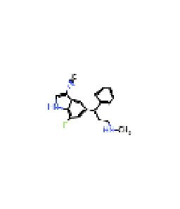 [C-]#[N+]c1c[nH]c2c(F)cc(C(CCNC)c3ccccc3)cc12